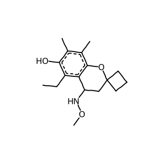 CCc1c(O)c(C)c(C)c2c1C(NOC)CC1(CCC1)O2